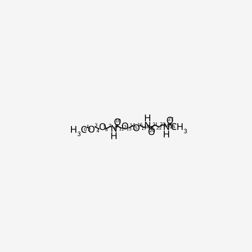 CCOCCOCCNC(=O)COCCOCCNC(=O)CCCNC(C)=O